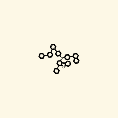 c1ccc(-c2cccc(-c3ccccc3-c3ccc(N(c4ccc(-c5cccc6ccccc56)cc4)c4ccc(-c5ccccc5)c5oc6ccccc6c45)cc3)c2)cc1